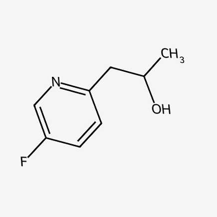 CC(O)Cc1ccc(F)cn1